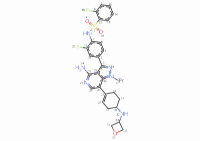 CC(C)n1nc(-c2ccc(NS(=O)(=O)c3ccccc3F)c(F)c2)c2c(N)ncc(C3=CC[C@H](NC4COC4)CC3)c21